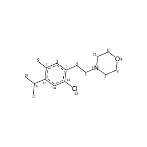 Cc1cc(CCN2CCOCC2)c(Cl)cc1C(C)C